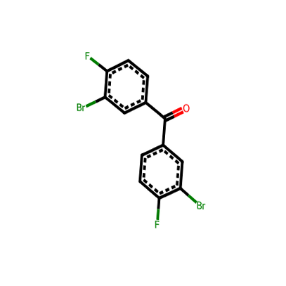 O=C(c1ccc(F)c(Br)c1)c1ccc(F)c(Br)c1